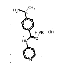 C[C@@H](N)c1ccc(C(=O)Nc2ccncc2)cc1.Cl.Cl.O